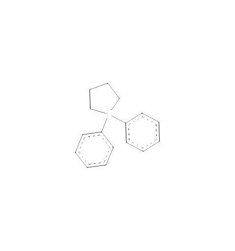 c1ccc([PH]2(c3ccccc3)CCCC2)cc1